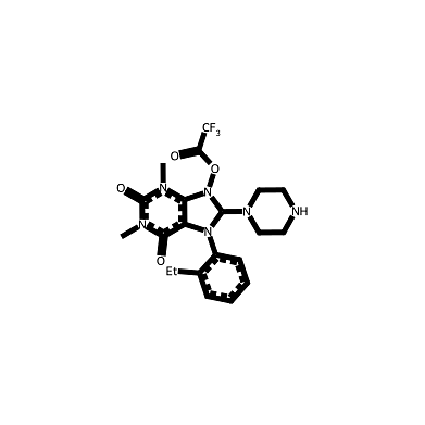 CCc1ccccc1N1c2c(n(C)c(=O)n(C)c2=O)N(OC(=O)C(F)(F)F)C1N1CCNCC1